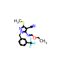 CCO/C=N/c1c(C#N)c(SC)nn1Cc1cccc(C(F)(F)F)c1